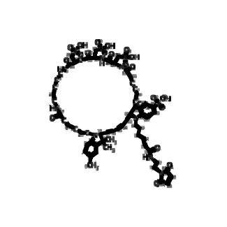 Cc1ccc2c(c1)C(C)(C)C1=[N+]2CCCCCC(=O)NCCCCCNC(=O)C(CS(=O)(=O)O)CC(=O)C(CS(=O)(=O)O)NC(=O)C(CS(=O)(=O)O)NC(=O)CCCCCC2(C)/C(=C/C=C/C=C/1)N(CCCCCC(=O)NCCN1C(=O)C=CC1=O)c1ccc(S(=O)(=O)O)cc12